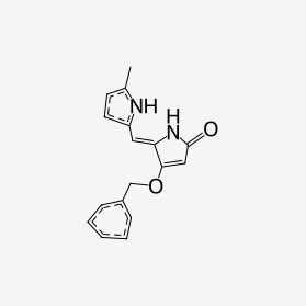 Cc1ccc(C=C2NC(=O)C=C2OCc2ccccc2)[nH]1